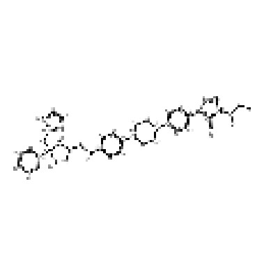 CCC(C)n1ncn(-c2ccc(N3CCN(c4ccc(OCC5COC(Cn6nccn6)(c6cncnc6)O5)cc4)CC3)cc2)c1=O